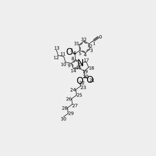 C#Cc1ccc(C(=O)c2c(CCCC)cc3n2CCC3C(=O)OCCCCCCCC)cc1